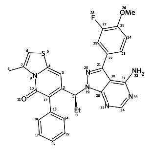 CC[C@@H](c1cc2scc(C)n2c(=O)c1-c1ccccc1)n1nc(-c2ccc(OC)c(F)c2)c2c(N)ncnc21